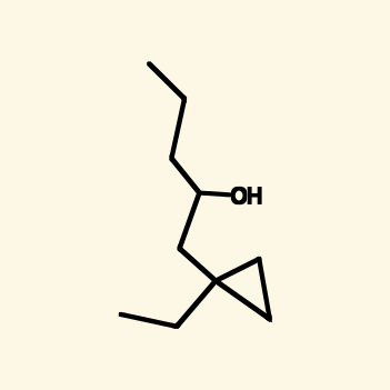 CCCC(O)CC1(CC)CC1